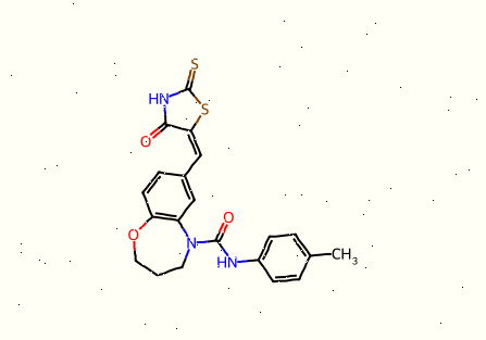 Cc1ccc(NC(=O)N2CCCOc3ccc(/C=C4/SC(=S)NC4=O)cc32)cc1